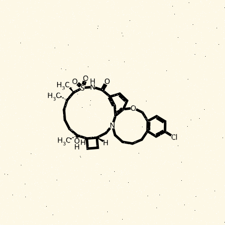 C[C@@H]1[C@@H](C)CCC[C@](C)(O)[C@@H]2CC[C@H]2CN2CCCCc3cc(Cl)ccc3COc3ccc(cc32)C(=O)NS1(=O)=O